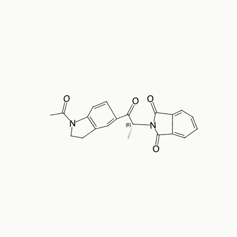 CC(=O)N1CCc2cc(C(=O)[C@@H](C)N3C(=O)c4ccccc4C3=O)ccc21